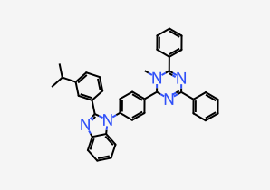 CC(C)c1cccc(-c2nc3ccccc3n2-c2ccc(C3N=C(c4ccccc4)N=C(c4ccccc4)N3C)cc2)c1